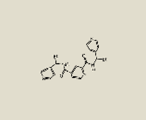 CCC(NC(=O)c1ccnc(C(=O)NC(CC)c2ccncc2)c1)c1ccncc1